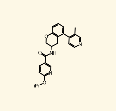 Cc1cnccc1-c1cccc2c1C[C@H](NC(=O)c1ccc(OC(C)C)nc1)CO2